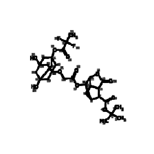 CC(C)(C)OC(=O)C1C2CC3C(OC(=O)C31)C2OC(=O)COC12CC3(O)CC(O)(C1)CC(OC(=O)C(C)(F)F)(C3)C2